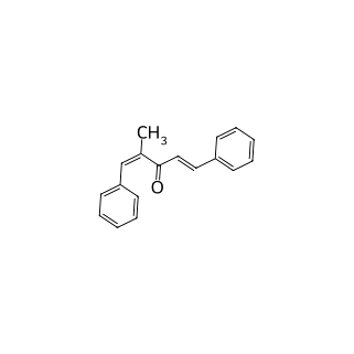 CC(=Cc1ccccc1)C(=O)C=Cc1ccccc1